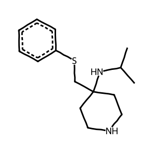 CC(C)NC1(CSc2ccccc2)CCNCC1